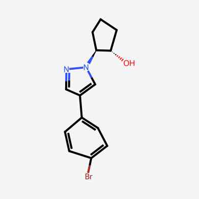 O[C@H]1CCC[C@@H]1n1cc(-c2ccc(Br)cc2)cn1